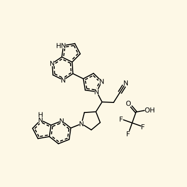 N#CCC(C1CCN(c2ccc3cc[nH]c3n2)C1)n1cc(-c2ncnc3[nH]ccc23)cn1.O=C(O)C(F)(F)F